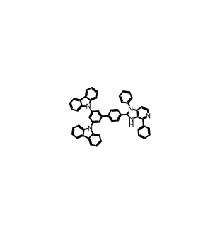 c1ccc(-c2nccc3c2NC(c2ccc(-c4cc(-n5c6ccccc6c6ccccc65)cc(-n5c6ccccc6c6ccccc65)c4)cc2)N3c2ccccc2)cc1